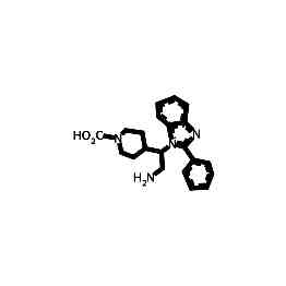 NCC(C1CCN(C(=O)O)CC1)n1c(-c2ccccc2)nc2ccccc21